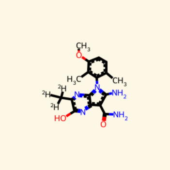 [2H]C([2H])([2H])c1nc2c(nc1O)c(C(N)=O)c(N)n2-c1c(C)ccc(OC)c1C